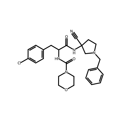 N#CC1(NC(=O)C(Cc2ccc(Cl)cc2)NC(=O)N2CCOCC2)CCN(Cc2ccccc2)C1